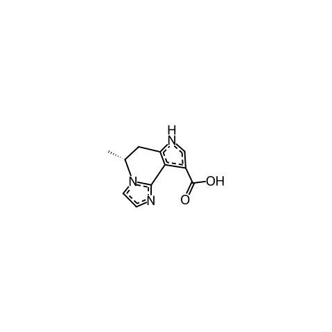 C[C@@H]1Cc2[nH]cc(C(=O)O)c2-c2nccn21